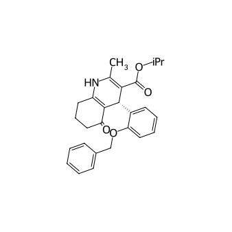 CC1=C(C(=O)OC(C)C)[C@H](c2ccccc2OCc2ccccc2)C2=C(CCCC2=O)N1